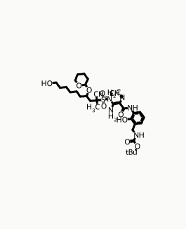 C=N/C(C(=O)Nc1cccc(CNC(=O)OC(C)(C)C)c1O)=C(/N)N(C)S(=O)(=O)C(C)(C)CC(CCCCCCO)OC1CCCCO1